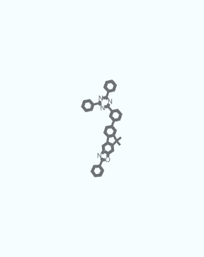 CC1(C)c2cc(-c3cccc(-c4nc(-c5ccccc5)nc(-c5ccccc5)n4)c3)ccc2-c2cc3nc(-c4ccccc4)oc3cc21